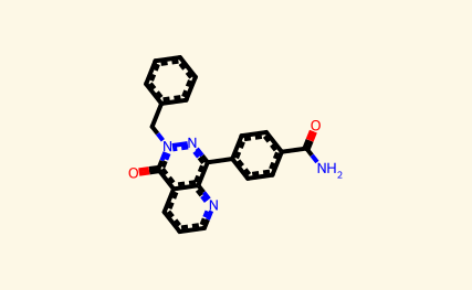 NC(=O)c1ccc(-c2nn(Cc3ccccc3)c(=O)c3cccnc23)cc1